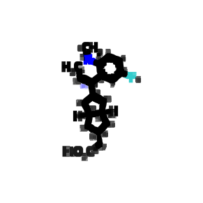 C=Nc1ccc(F)cc1/C(=C\C)C1=C[C@@H]2C[C@@H](CC(=O)OCC)C[C@@H]2C1